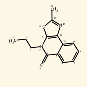 CCCn1c(=O)c2ccccc2c2nc(C)sc21